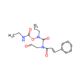 CCNC(=O)ON(CC)C(=O)N(C[C]=O)C(=O)/C=C/c1ccccc1